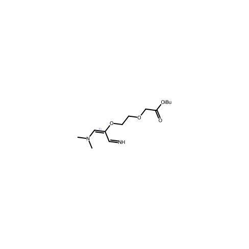 CC(C)COC(=O)COCCO/C(C=N)=C/N(C)C